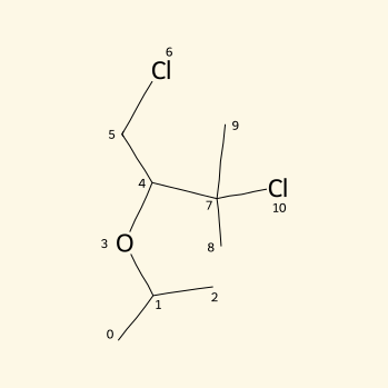 CC(C)OC(CCl)C(C)(C)Cl